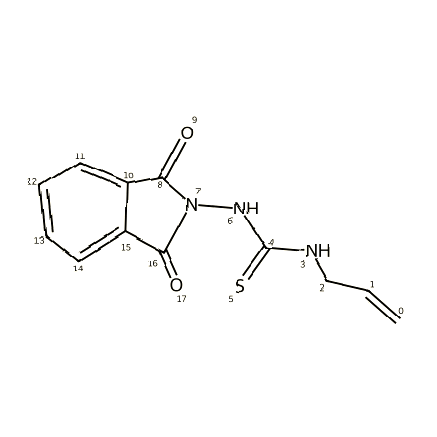 C=CCNC(=S)NN1C(=O)c2ccccc2C1=O